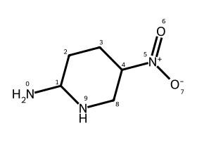 NC1CCC([N+](=O)[O-])CN1